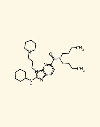 CCCCN(CCCC)C(=O)c1ccc2nc(NC3CCCCC3)n(CCCN3CCCCC3)c2n1